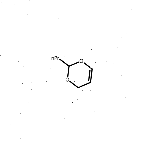 CCCC1OC=CCO1